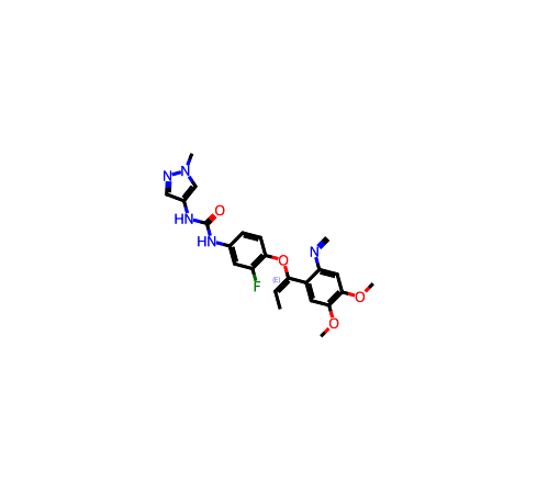 C=Nc1cc(OC)c(OC)cc1/C(=C\C)Oc1ccc(NC(=O)Nc2cnn(C)c2)cc1F